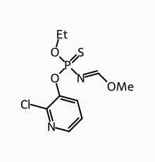 CCOP(=S)(N=COC)Oc1cccnc1Cl